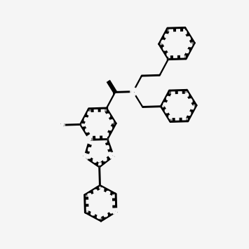 Nc1cc(C(=O)N(CCc2ccccc2)Cc2ccccc2)cc2nc(-c3cccnc3)nn12